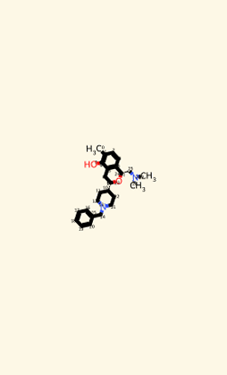 Cc1ccc2c(c1O)C[C@@H](C1CCN(Cc3ccccc3)CC1)O[C@H]2CN(C)C